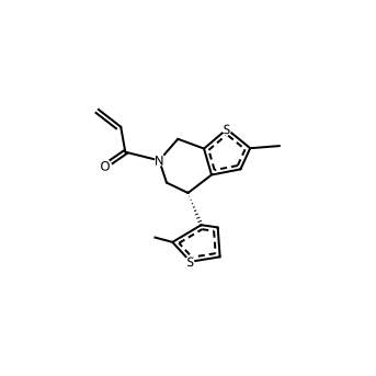 C=CC(=O)N1Cc2sc(C)cc2[C@H](c2ccsc2C)C1